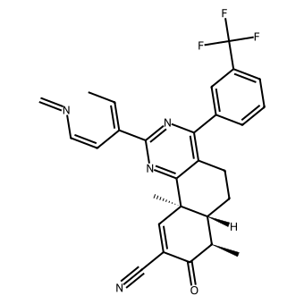 C=N/C=C\C(=C/C)c1nc(-c2cccc(C(F)(F)F)c2)c2c(n1)[C@]1(C)C=C(C#N)C(=O)[C@H](C)[C@H]1CC2